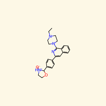 CCN1CCN(c2nc(-c3ccc(C4OCC[NH+]4[O-])cc3)cc3ccccc23)CC1